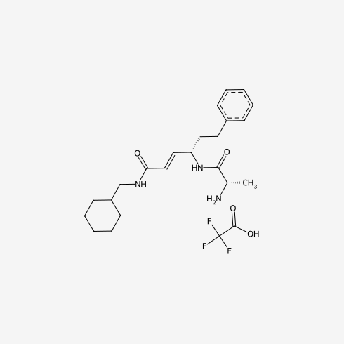 C[C@H](N)C(=O)N[C@H](C=CC(=O)NCC1CCCCC1)CCc1ccccc1.O=C(O)C(F)(F)F